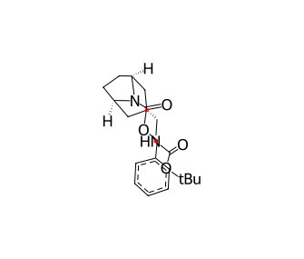 CC(C)(C)OC(=O)NC[C@@H]1C[C@H]2CC[C@@H](C1)N2C(=O)OCc1ccccc1